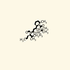 C=CC[C@H](C(C)C)N(C=O)C(=O)C[C@H](O)[C@H]1CCC[C@H](C)N1C(=O)OC(C)(C)C